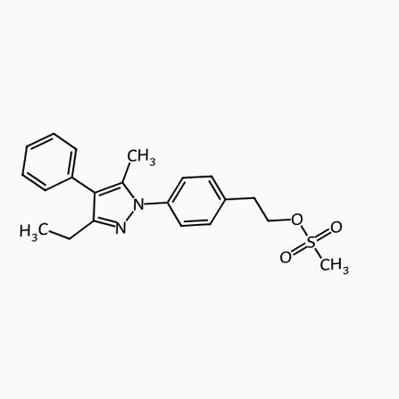 CCc1nn(-c2ccc(CCOS(C)(=O)=O)cc2)c(C)c1-c1ccccc1